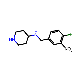 O=[N+]([O-])c1cc(CNC2CCNCC2)ccc1F